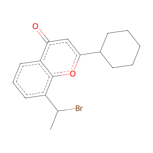 CC(Br)c1cccc2c(=O)cc(C3CCCCC3)oc12